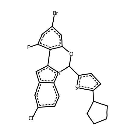 Fc1cc(Br)cc2c1-c1cc3cc(Cl)ccc3n1C(c1ccc(C3CCCC3)s1)O2